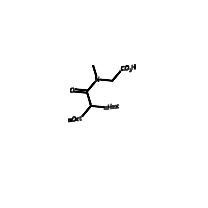 CCCCCCCCC(CCCCCC)C(=O)N(C)CC(=O)O